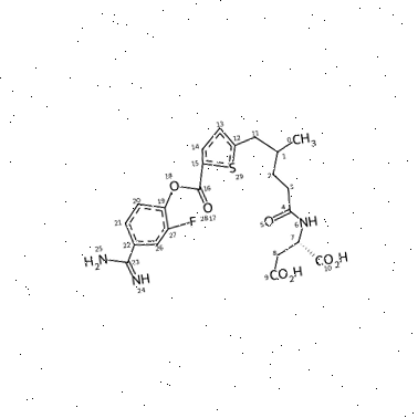 CC(CCC(=O)N[C@@H](CC(=O)O)C(=O)O)Cc1ccc(C(=O)Oc2ccc(C(=N)N)cc2F)s1